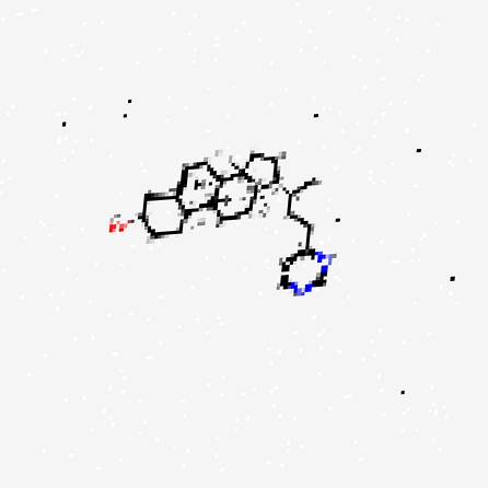 CC(CCc1ccncn1)[C@H]1CC[C@H]2[C@@H]3CC=C4C[C@@H](O)CC[C@]4(C)[C@H]3CC[C@]12C